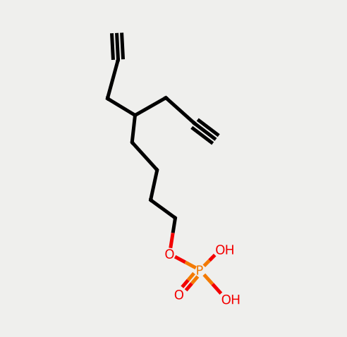 C#CCC(CC#C)CCCCOP(=O)(O)O